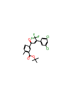 Cc1ccc(C(=O)C=C(c2cc(Cl)cc(Cl)c2)C(F)(F)F)cc1C(=O)OC(C)(C)C